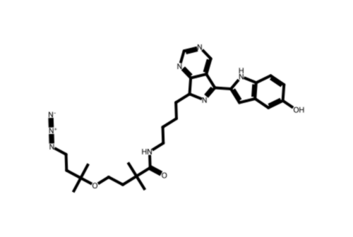 CC(C)(CCN=[N+]=[N-])OCCC(C)(C)C(=O)NCCCCC1N=C(c2cc3cc(O)ccc3[nH]2)c2cncnc21